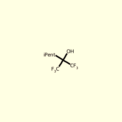 CCCC(C)C(O)(C(F)(F)F)C(F)(F)F